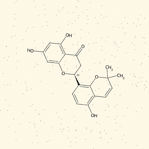 CC1(C)C=Cc2c(O)ccc([C@@H]3CC(=O)c4c(O)cc(O)cc4O3)c2O1